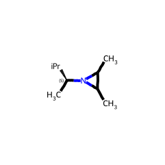 CC(C)[C@H](C)N1C(C)C1C